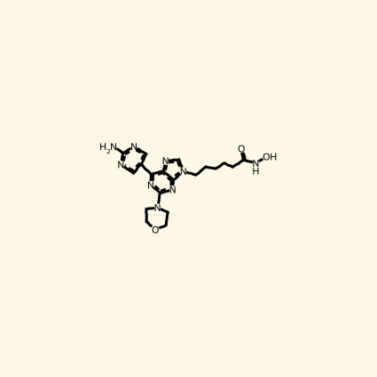 Nc1ncc(-c2nc(N3CCOCC3)nc3c2ncn3CCCCCC(=O)NO)cn1